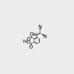 N#CC(C#N)=Cc1cccc(C(=O)O)c1C(=O)O